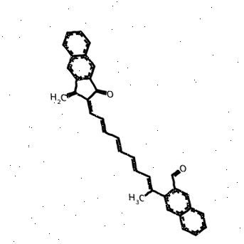 C=C1/C(=C/C=C/C=C/C=C/C=C(\C)c2cc3ccccc3cc2C=O)C(=O)c2cc3ccccc3cc21